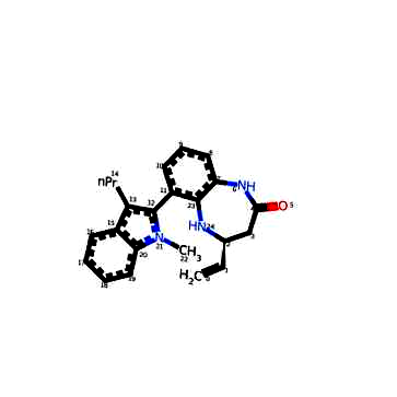 C=C[C@@H]1CC(=O)Nc2cccc(-c3c(CCC)c4ccccc4n3C)c2N1